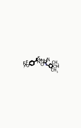 Cc1cc(/C=C(\C#N)C(=O)Nc2nc(-c3ccc(OC(F)(F)F)cc3)cs2)cc(C)c1O